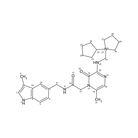 Cc1c[nH]c2ccc(CNC(=O)Cn3c(C)cnc(NC[N+]4(C5CCCC5)CCCC4)c3=O)cc12